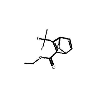 CCOC(=O)C1=C(C(F)(F)F)C2C=CC1O2